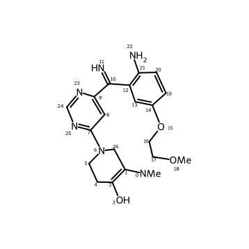 CNC1=C(O)CCN(c2cc(C(=N)c3cc(OCCOC)ccc3N)ncn2)C1